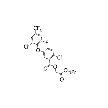 CC(C)OC(=O)COC(=O)c1cc(Oc2c(F)cc(C(F)(F)F)cc2Cl)ccc1Cl